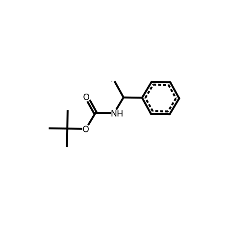 [CH2]C(NC(=O)OC(C)(C)C)c1ccccc1